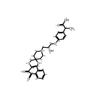 CC(C(=O)O)c1ccc(OC[C@H](O)CN2CCC3(CC2)CSC2=C(O3)c3ccccc3C(=O)C2=O)cc1